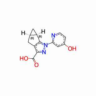 O=C(O)c1nn(-c2cc(O)ccn2)c2c1C[C@H]1C[C@@H]21